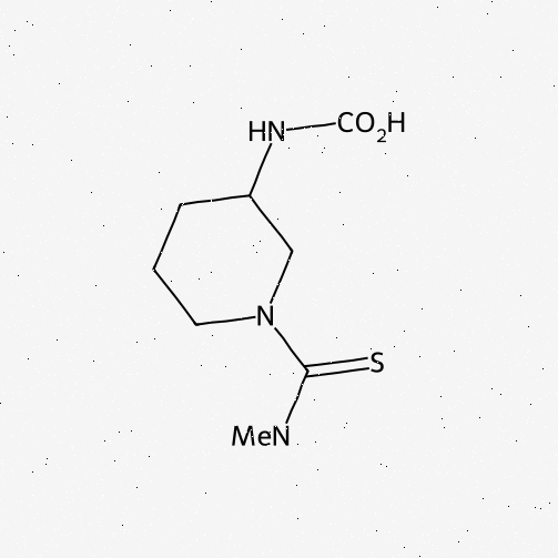 CNC(=S)N1CCCC(NC(=O)O)C1